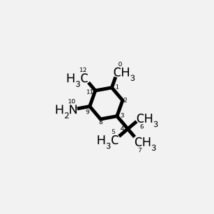 CC1CC(C(C)(C)C)CC(N)C1C